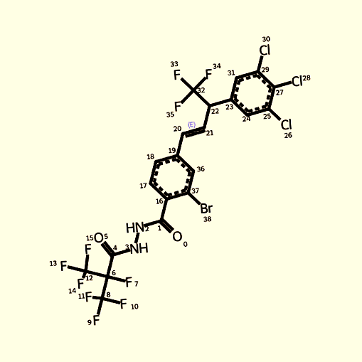 O=C(NNC(=O)C(F)(C(F)(F)F)C(F)(F)F)c1ccc(/C=C/C(c2cc(Cl)c(Cl)c(Cl)c2)C(F)(F)F)cc1Br